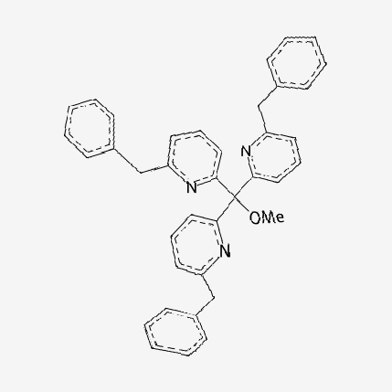 COC(c1cccc(Cc2ccccc2)n1)(c1cccc(Cc2ccccc2)n1)c1cccc(Cc2ccccc2)n1